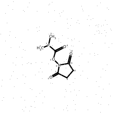 CP(C)C(=O)ON1C(=O)CCC1=O